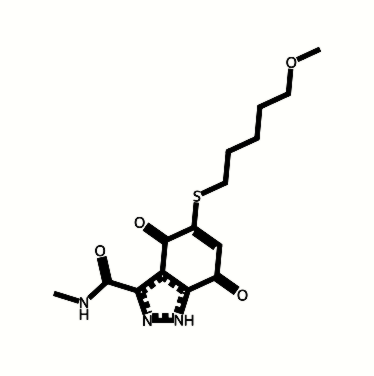 CNC(=O)c1n[nH]c2c1C(=O)C(SCCCCCOC)=CC2=O